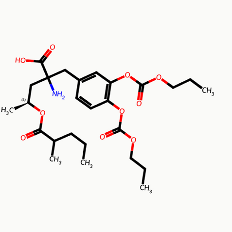 CCCOC(=O)Oc1ccc(CC(N)(C[C@H](C)OC(=O)C(C)CCC)C(=O)O)cc1OC(=O)OCCC